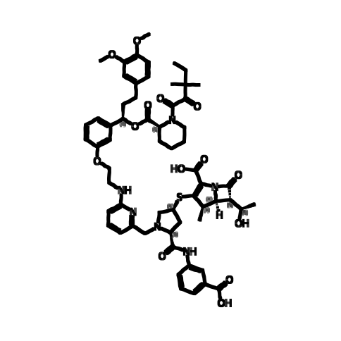 CCC(C)(C)C(=O)C(=O)N1CCCC[C@H]1C(=O)O[C@H](CCc1ccc(OC)c(OC)c1)c1cccc(OCCNc2cccc(CN3C[C@@H](SC4=C(C(=O)O)N5C(=O)[C@H]([C@@H](C)O)[C@H]5[C@H]4C)C[C@H]3C(=O)Nc3cccc(C(=O)O)c3)n2)c1